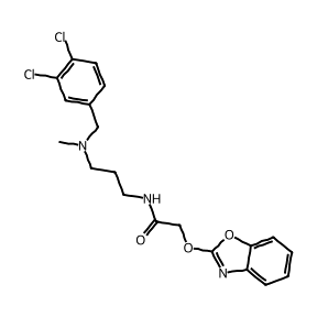 CN(CCCNC(=O)COc1nc2ccccc2o1)Cc1ccc(Cl)c(Cl)c1